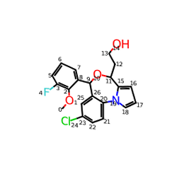 COc1c(F)cccc1C1OC(CCO)c2cccn2-c2ccc(Cl)cc21